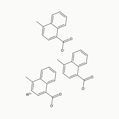 Cc1ccc(C(=O)[O-])c2ccccc12.Cc1ccc(C(=O)[O-])c2ccccc12.Cc1ccc(C(=O)[O-])c2ccccc12.[Al+3]